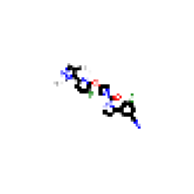 Cc1cnn(C)c1-c1ccc(F)c(OC2CN(C(=O)N3N=CCC3c3cc(F)cc(C#N)c3)C2)n1